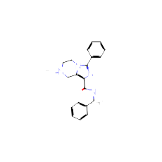 CCN1CCn2c(-c3ccccc3)nc(C(=O)N[C@@H](C)c3ccccc3)c2C1